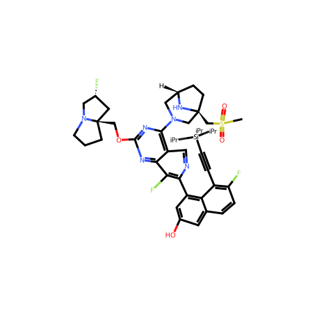 CC(C)[Si](C#Cc1c(F)ccc2cc(O)cc(-c3ncc4c(N5C[C@@H]6CC[C@](CS(C)(=O)=O)(C5)N6)nc(OC[C@@]56CCCN5C[C@H](F)C6)nc4c3F)c12)(C(C)C)C(C)C